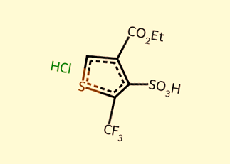 CCOC(=O)c1csc(C(F)(F)F)c1S(=O)(=O)O.Cl